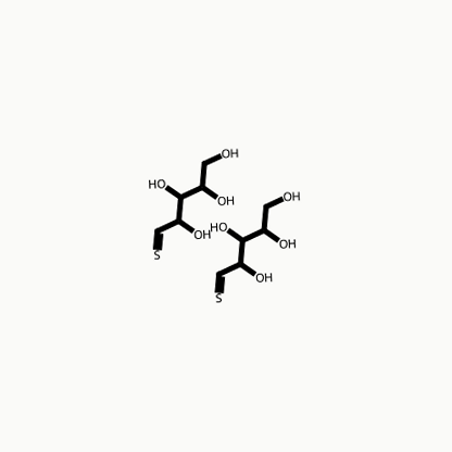 OCC(O)C(O)C(O)C=S.OCC(O)C(O)C(O)C=S